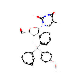 COc1ccc(C(O[C@H]2C[C@H](n3cc(C)c(=O)[nH]c3=O)O[C@@H]2C=O)(c2ccccc2)c2ccccc2)cc1